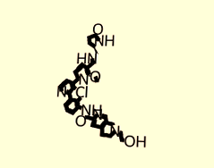 COc1nc(-c2ccnc(-c3cccc(NC(=O)c4cc5c(cn4)CN(CCO)CC5)c3C)c2Cl)ccc1CNC[C@H]1CCC(=O)N1